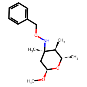 CO[C@H]1C[C@@](C)(NOCc2ccccc2)[C@@H](C)[C@H](C)O1